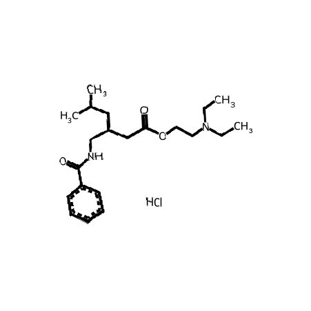 CCN(CC)CCOC(=O)CC(CNC(=O)c1ccccc1)CC(C)C.Cl